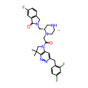 C[C@@H]1CN(CC(=O)N2CC(C)(C)c3nnc(Cc4ccc(F)cc4F)cc32)[C@@H](CN2Cc3ccc(F)cc3C2=O)CN1